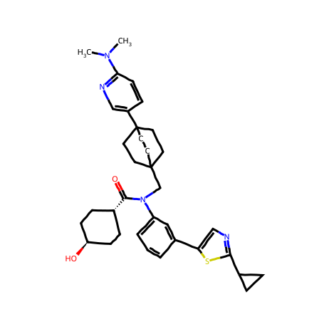 CN(C)c1ccc(C23CCC(CN(c4cccc(-c5cnc(C6CC6)s5)c4)C(=O)[C@H]4CC[C@H](O)CC4)(CC2)CC3)cn1